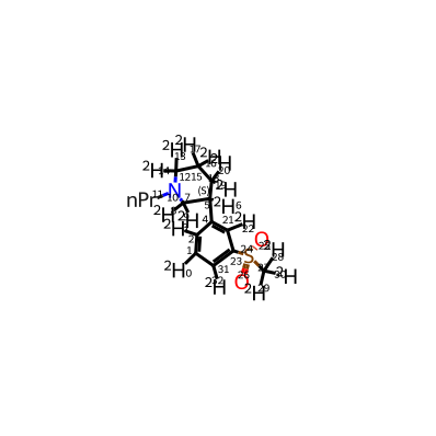 [2H]c1c([2H])c([C@@]2([2H])C([2H])([2H])N(CCC)C([2H])([2H])C([2H])([2H])C2([2H])[2H])c([2H])c(S(=O)(=O)C([2H])([2H])[2H])c1[2H]